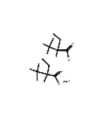 CCC(C)(C(=O)[O-])C(C)(C)C.CCC(C)(C(=O)[O-])C(C)(C)C.[Mg+2]